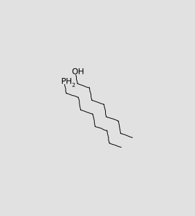 CCCCCCCCO.CCCCCCCCP